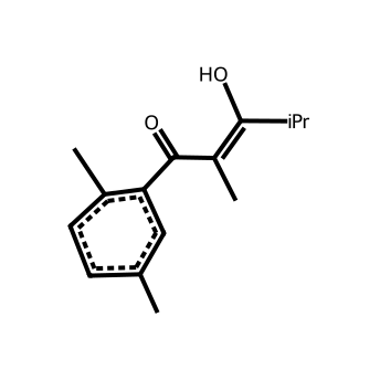 C/C(C(=O)c1cc(C)ccc1C)=C(/O)C(C)C